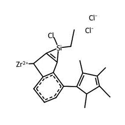 CC[Si]1(Cl)C2=C1[CH]([Zr+2])c1cccc(C3=C(C)C(C)=C(C)C3C)c12.[Cl-].[Cl-]